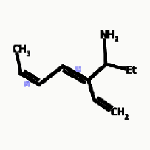 C=C/C(=C\C=C/C)C(N)CC